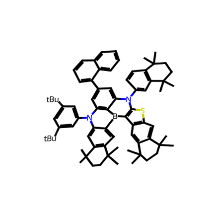 CC(C)(C)c1cc(N2c3cc4c(cc3B3c5c2cc(-c2cccc6ccccc26)cc5N(c2ccc5c(c2)C(C)(C)CCC5(C)C)c2sc5cc6c(cc5c23)C(C)(C)CCC6(C)C)C(C)(C)CCC4(C)C)cc(C(C)(C)C)c1